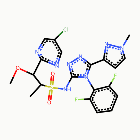 COC(c1ncc(Cl)cn1)C(C)S(=O)(=O)Nc1nnc(-c2ccn(C)n2)n1-c1c(F)cccc1F